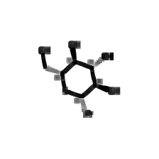 CC(C)[C@@H]1S[C@H](CO)[C@@H](O)[C@H](O)[C@H]1O